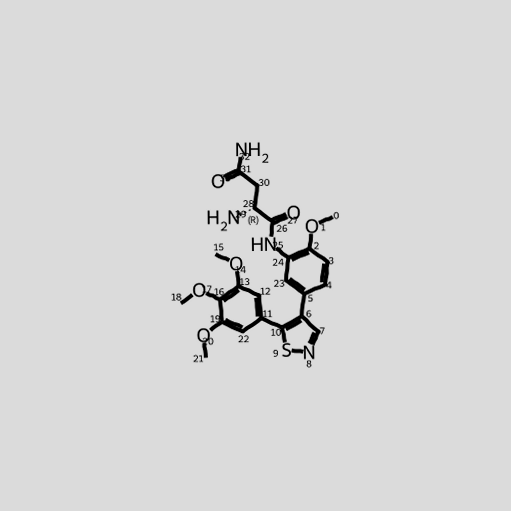 COc1ccc(-c2cnsc2-c2cc(OC)c(OC)c(OC)c2)cc1NC(=O)[C@H](N)CC(N)=O